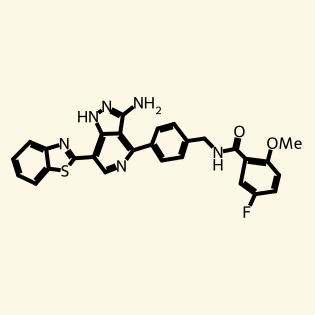 COc1ccc(F)cc1C(=O)NCc1ccc(-c2ncc(-c3nc4ccccc4s3)c3[nH]nc(N)c23)cc1